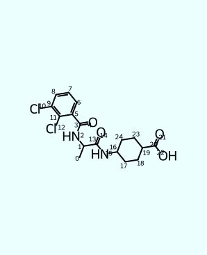 CC(NC(=O)c1cccc(Cl)c1Cl)C(=O)NC1CCC(C(=O)O)CC1